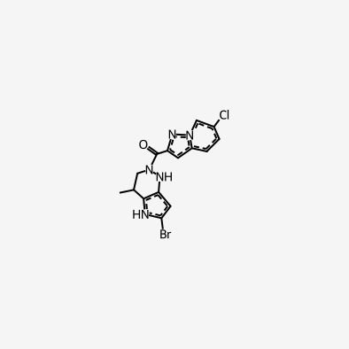 CC1CN(C(=O)c2cc3ccc(Cl)cn3n2)Nc2cc(Br)[nH]c21